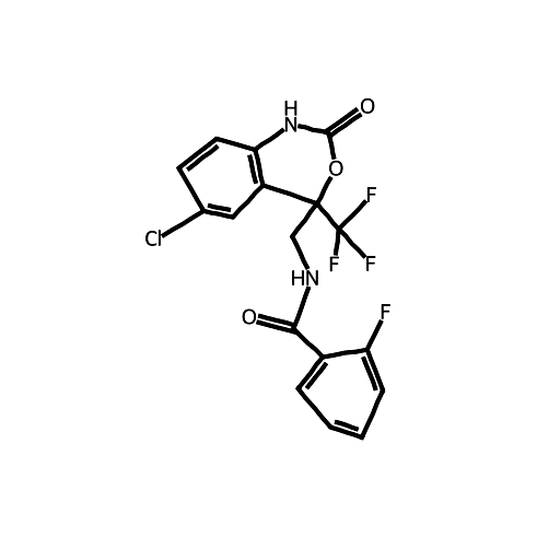 O=C1Nc2ccc(Cl)cc2C(CNC(=O)c2ccccc2F)(C(F)(F)F)O1